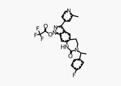 Cc1cc(-c2nn(OC(=O)C(F)(F)F)c3cc4c(cc23)CCN(C(C)c2ccc(F)cc2)C(=O)N4)ccn1